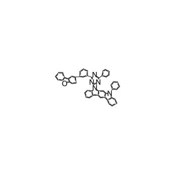 c1ccc(-c2nc(-c3cccc(-c4ccc5oc6ccccc6c5c4)c3)nc(-n3c4ccccc4c4cc5c6ccccc6n(-c6ccccc6)c5cc43)n2)cc1